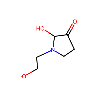 [O]CCN1CCC(=O)C1O